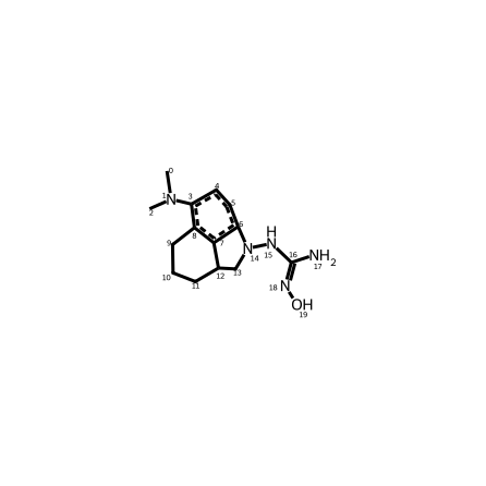 CN(C)c1ccc2c3c1CCCC3CN2NC(N)=NO